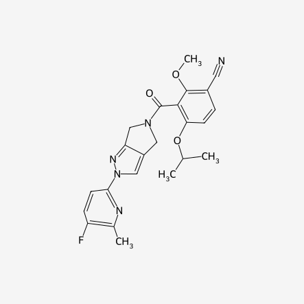 COc1c(C#N)ccc(OC(C)C)c1C(=O)N1Cc2cn(-c3ccc(F)c(C)n3)nc2C1